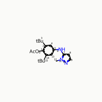 CC(=O)Oc1c(C(C)(C)C)cc(Nc2ccnn2C)cc1C(C)(C)C